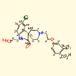 O=C(O)c1ccc(OCCN2CCC3(CC2)C(=O)N(CCO)c2ccc(Cl)cc23)cc1C(F)(F)F